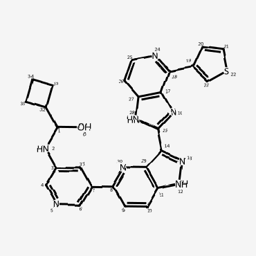 OC(Nc1cncc(-c2ccc3[nH]nc(-c4nc5c(-c6ccsc6)nccc5[nH]4)c3n2)c1)C1CCC1